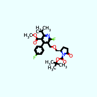 COC(=O)c1c(C(C)C)nc(F)c(COC[C@H]2CCC(=O)N2C(=O)OC(C)(C)C)c1-c1ccc(F)cc1